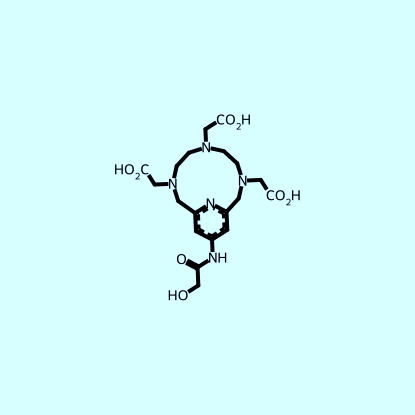 O=C(O)CN1CCN(CC(=O)O)Cc2cc(NC(=O)CO)cc(n2)CN(CC(=O)O)CC1